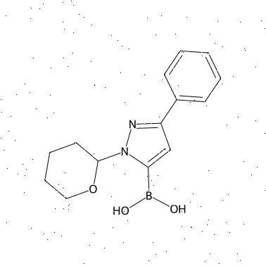 OB(O)c1cc(-c2ccccc2)nn1C1CCCCO1